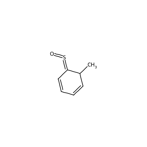 CC1C=CC=CC1=S=O